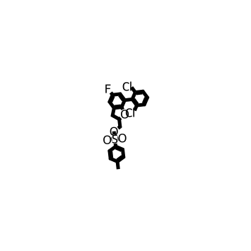 Cc1ccc(S(=O)(=O)OCC2Cc3cc(F)cc(-c4c(Cl)cccc4Cl)c3O2)cc1